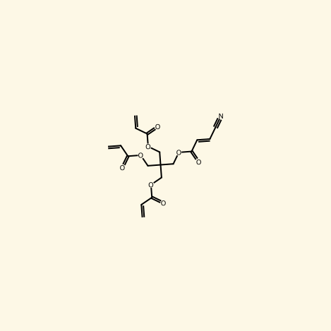 C=CC(=O)OCC(COC(=O)C=C)(COC(=O)C=C)COC(=O)/C=C/C#N